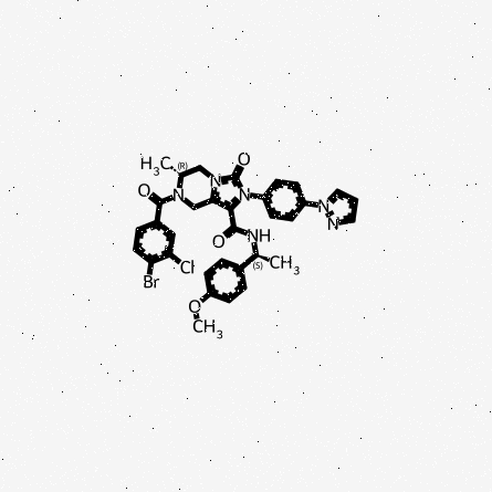 COc1ccc([C@H](C)NC(=O)c2c3n(c(=O)n2-c2ccc(-n4cccn4)cc2)C[C@@H](C)N(C(=O)c2ccc(Br)c(Cl)c2)C3)cc1